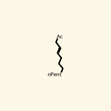 CCCCCCCC/C=C/CC(C)=O